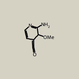 COC1C(=C=O)C=CN=C1N